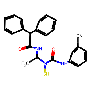 N#Cc1cccc(NC(=O)N(S)C(NC(=O)C(c2ccccc2)c2ccccc2)C(F)(F)F)c1